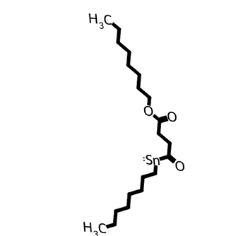 CCCCCCCCOC(=O)CC[C](=O)[Sn][CH2]CCCCCCC